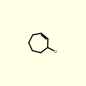 [O]C1C=CCCCC1